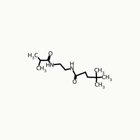 CC(C)C(=O)NCCNC(=O)CCC(C)(C)C